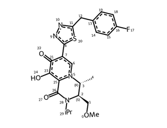 COC[C@@H]1[C@@H](C)n2cc(-c3nnc(Cc4ccc(F)cc4)s3)c(=O)c(O)c2C(=O)N1C(C)C